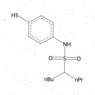 CCCCC(CCC)S(=O)(=O)Nc1ccc(S)cc1